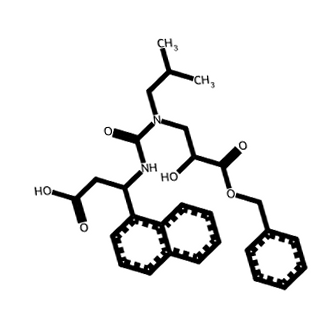 CC(C)CN(CC(O)C(=O)OCc1ccccc1)C(=O)NC(CC(=O)O)c1cccc2ccccc12